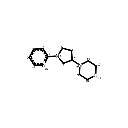 c1ccc(N2CCC(N3CCOCC3)C2)nc1